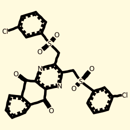 O=C1c2ccccc2C(=O)c2nc(CS(=O)(=O)c3cccc(Cl)c3)c(CS(=O)(=O)c3cccc(Cl)c3)nc21